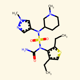 CCc1csc(CC)c1N(C(N)=O)S(=O)(=O)N(c1cnn(C)c1)C1CCCN(C)C1